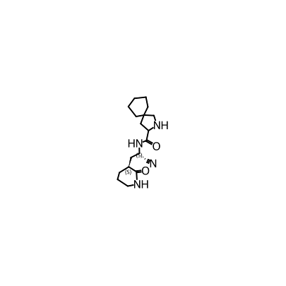 N#C[C@H](C[C@@H]1CCCNC1=O)NC(=O)C1CC2(CCCCC2)CN1